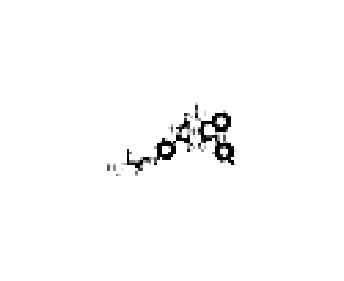 CNC(=O)COc1ccc([C@H]2NC(=O)N([C@H](C(=O)Nc3ccc(I)cc3)[C@@H](C)c3ccccc3)C2=O)cc1